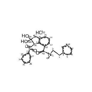 CN(CCc1cccnc1)C(=O)c1cccc2c1C(S(=O)(=O)c1ccccc1)C(O)(O)S2.Cl